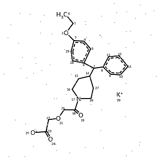 CCOc1ccc(C(c2ccccc2)C2CCN(C(=O)COCC(=O)[O-])CC2)cc1.[K+]